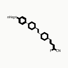 CCCCCCCc1ccc([C@H]2CC[C@H](CC[C@H]3CC[C@H](C=CC=C(F)C#N)CC3)CC2)cc1